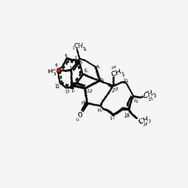 CC1=C(C)CC2(c3ccccc3)C(=C1)C(=O)C1CC(C)=C(C)CC12C